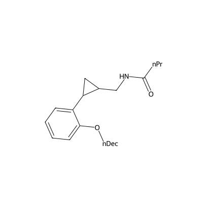 CCCCCCCCCCOc1ccccc1C1CC1CNC(=O)CCC